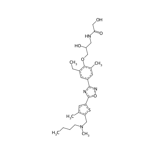 CCCCN(C)Cc1sc(-c2nc(-c3cc(C)c(OCC(O)CNC(=O)CO)c(CC)c3)no2)cc1C